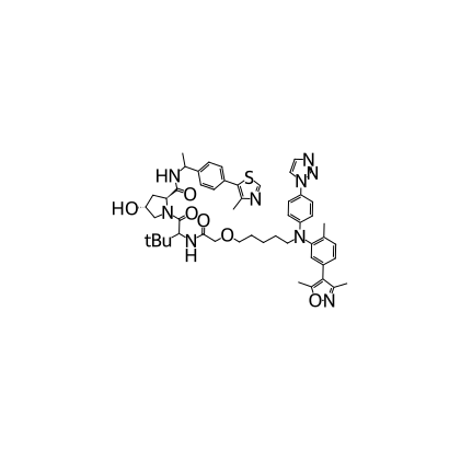 Cc1ccc(-c2c(C)noc2C)cc1N(CCCCCOCC(=O)NC(C(=O)N1C[C@H](O)C[C@H]1C(=O)NC(C)c1ccc(-c2scnc2C)cc1)C(C)(C)C)c1ccc(-n2ccnn2)cc1